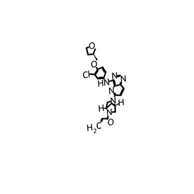 C=CC(=O)N1C[C@@H]2C[C@H]1CN2c1ccc2ncnc(Nc3ccc(OC[C@H]4CCOC4)c(Cl)c3)c2n1